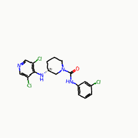 O=C(Nc1cccc(Cl)c1)N1CCC[C@@H](Nc2c(Cl)cncc2Cl)C1